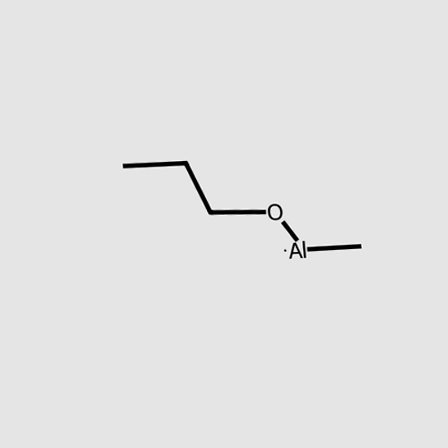 CCC[O][Al][CH3]